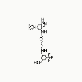 OCc1cc(CNCCCCOCCNc2cc(-n3cnnc3)cc3[nH]ncc23)cc(C(F)(F)F)c1